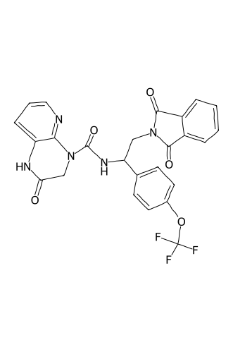 O=C1CN(C(=O)NC(CN2C(=O)c3ccccc3C2=O)c2ccc(OC(F)(F)F)cc2)c2ncccc2N1